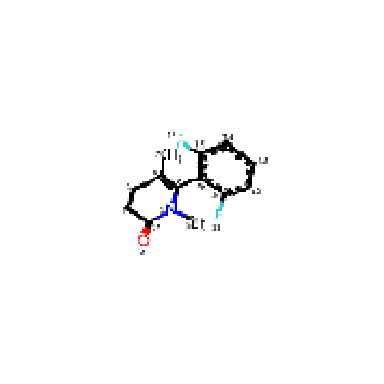 CCN1C(=O)CCC(C)=C1c1c(F)cccc1F